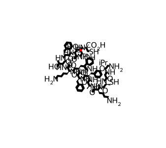 CC(O)[C@H](NC(=O)[C@H](CCCCN)NC(=O)[C@@H](Cc1c[nH]c2ccccc12)NC(=O)[C@H](Cc1ccccc1)NC(=O)[C@H](Cc1ccccc1)NC(=O)[C@H](C)NC(=O)[C@H](CCCCN)NC(=O)[C@H](CS)NC(=O)CNC(=O)[C@H](N)C(C)C)C(=O)N[C@H](Cc1ccccc1)C(=O)N[C@H](C(=O)N[C@@H](CO)C(=O)N[C@@H](CS)C(=O)O)C(C)O